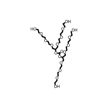 O=C(OC(COCCOCCOCCO)COCCOCCOCCO)OC(COCCOCCOCCO)COCCOCCOCCO